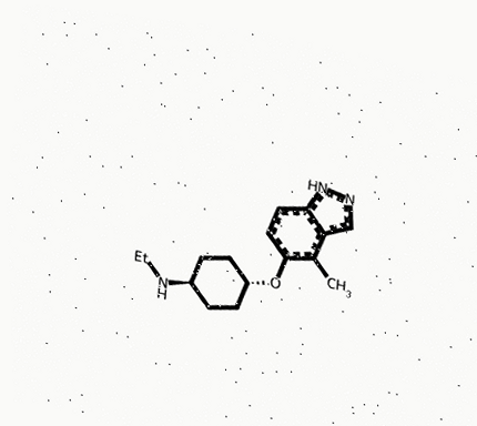 CCN[C@H]1CC[C@H](Oc2ccc3[nH]ncc3c2C)CC1